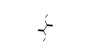 O=C(OBr)C(=O)OI